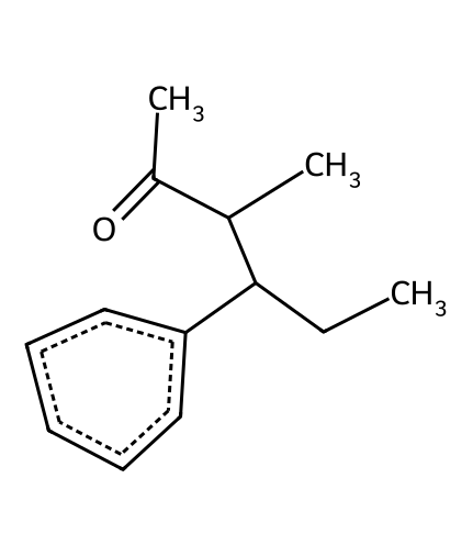 CCC(c1ccccc1)C(C)C(C)=O